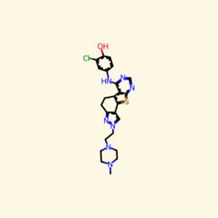 CN1CCN(CCn2cc3c(n2)CCc2c-3sc3ncnc(Nc4ccc(O)c(Cl)c4)c23)CC1